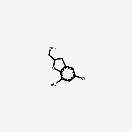 CC(C)(C)c1cc(Cl)cc2c1OC(CN)C2